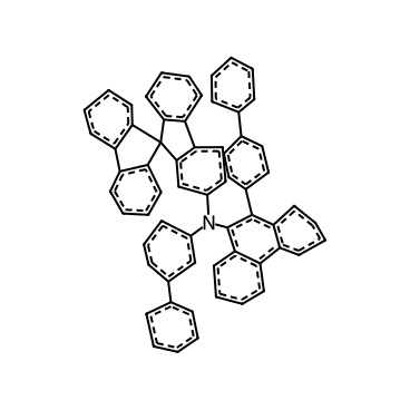 c1ccc(-c2ccc(-c3c(N(c4cccc(-c5ccccc5)c4)c4ccc5c(c4)C4(c6ccccc6-c6ccccc64)c4ccccc4-5)c4ccccc4c4ccccc34)cc2)cc1